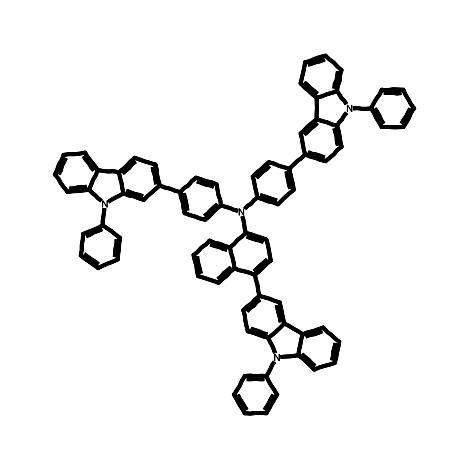 c1ccc(-n2c3ccccc3c3cc(-c4ccc(N(c5ccc(-c6ccc7c8ccccc8n(-c8ccccc8)c7c6)cc5)c5ccc(-c6ccc7c(c6)c6ccccc6n7-c6ccccc6)c6ccccc56)cc4)ccc32)cc1